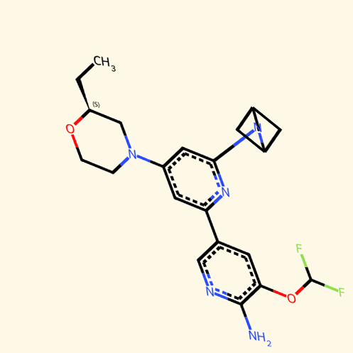 CC[C@H]1CN(c2cc(-c3cnc(N)c(OC(F)F)c3)nc(N3CC4CC3C4)c2)CCO1